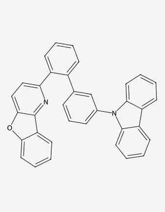 c1cc(-c2ccccc2-c2ccc3oc4ccccc4c3n2)cc(-n2c3ccccc3c3ccccc32)c1